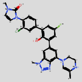 CC1=CN(c2cc(-c3cc(F)cc(-c4ccc(-n5ccn(C)c5=O)c(Cl)c4)c3O)cc3c2nnn3C)CCN1